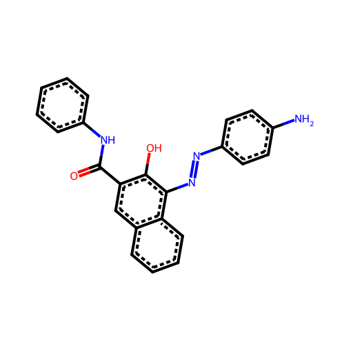 Nc1ccc(N=Nc2c(O)c(C(=O)Nc3ccccc3)cc3ccccc23)cc1